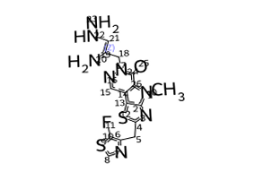 Cn1c2nc(Cc3ncsc3F)sc2c2cnn(C/C(N)=C/NN)c(=O)c21